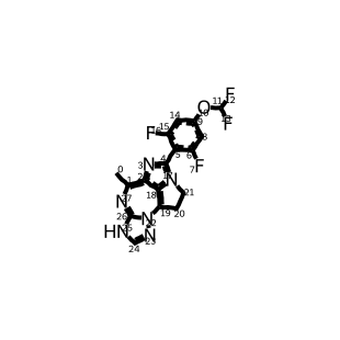 CC1=c2nc(-c3c(F)cc(OC(F)F)cc3F)n3c2=C(CC3)N2N=CNC2=N1